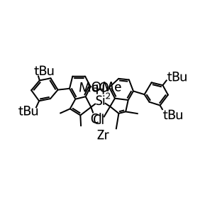 COc1ccc(-c2cc(C(C)(C)C)cc(C(C)(C)C)c2)c2c1C(Cl)([SiH2]C1(Cl)C(C)=C(C)c3c(-c4cc(C(C)(C)C)cc(C(C)(C)C)c4)ccc(OC)c31)C(C)=C2C.[Zr]